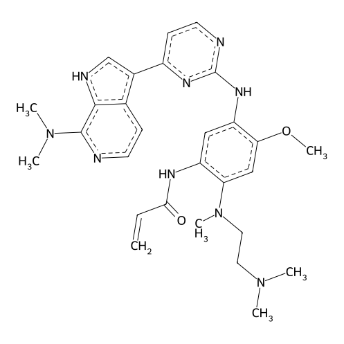 C=CC(=O)Nc1cc(Nc2nccc(-c3c[nH]c4c(N(C)C)nccc34)n2)c(OC)cc1N(C)CCN(C)C